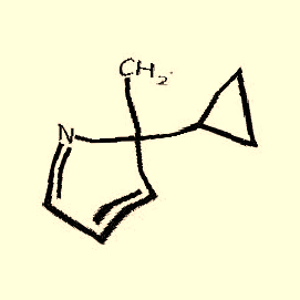 [CH2]C1(C2CC2)C=CC=N1